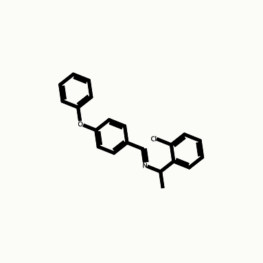 CC(N=Cc1ccc(Oc2ccccc2)cc1)c1ccccc1Cl